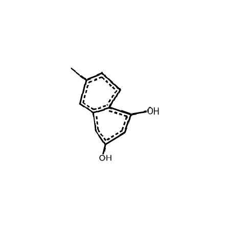 Cc1ccc2c(O)cc(O)cc2c1